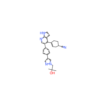 CC(C)(O)Cn1cc(-c2ccc(-c3cnc4[nH]ccc4c3C3=CCC(C#N)CC3)cc2)cn1